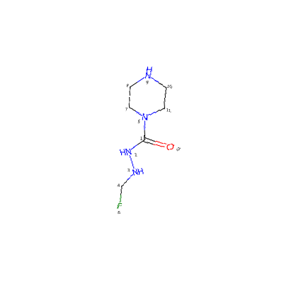 O=C(NNCF)N1CCNCC1